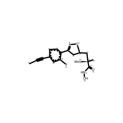 CC#Cc1ccc(C2=NOC(C[C@@](C)(SC)C(=O)NO)C2)c(F)c1